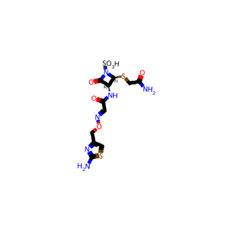 NC(=O)CS[C@H]1[C@H](NC(=O)C=NOCc2csc(N)n2)C(=O)N1S(=O)(=O)O